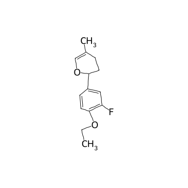 CCOc1ccc(C2CCC(C)=CO2)cc1F